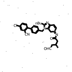 CCCCc1nc2c(n1Cc1ccc(-c3ccc(Cl)cc3C#N)cc1)CC(=NC(=O)CC(C)CC=O)C=C2